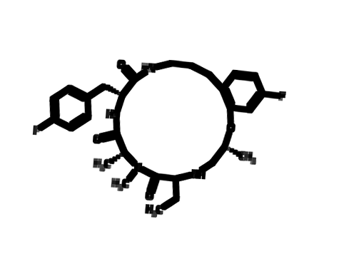 CCC1NC[C@@H](C)Oc2cc(F)ccc2CCCNC(=O)[C@@H](Cc2ccc(F)cc2)NC(=O)[C@@H](C)N(C)C1=O